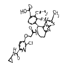 Cc1nn2c3c(nc2s1)CCN(C(=O)COc1ccc(C(=O)NC2CC2)nc1Cl)C3c1ccc(C(=O)O)c(C)c1F